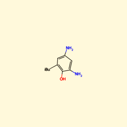 CCC(C)c1cc(N)cc(N)c1O